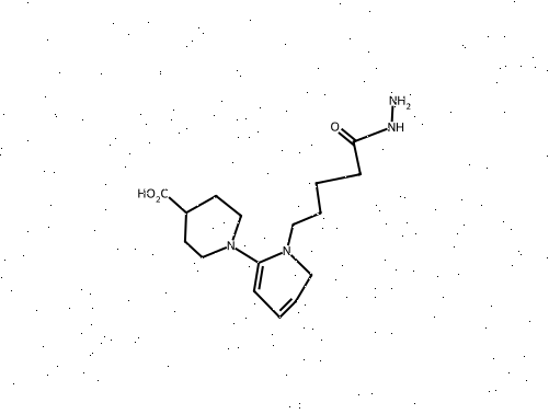 NNC(=O)CCCCN1CC=CC=C1N1CCC(C(=O)O)CC1